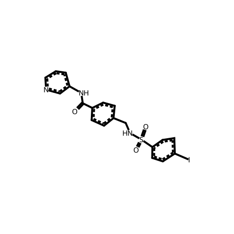 O=C(Nc1cccnc1)c1ccc(CNS(=O)(=O)c2ccc(I)cc2)cc1